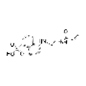 C=CC(=O)NCCNc1cccc2c(S(=O)(=O)O)cccc12